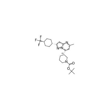 Cc1cc([C@H]2CCCN(C(=O)OC(C)(C)C)C2)n2nc([C@H]3CC[C@H](C(F)(F)F)CC3)cc2n1